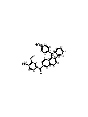 CCc1cc(C(=O)c2ccc3c4c(ccc3c2)-c2ccccc2C4c2ccc(O)cc2)ccc1Br